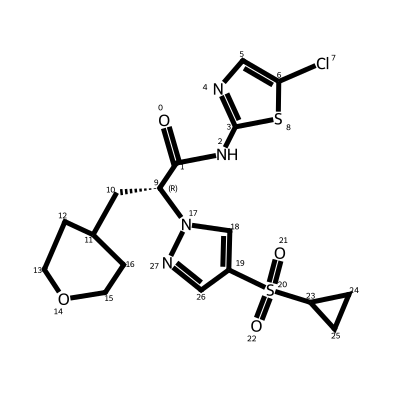 O=C(Nc1ncc(Cl)s1)[C@@H](CC1CCOCC1)n1cc(S(=O)(=O)C2CC2)cn1